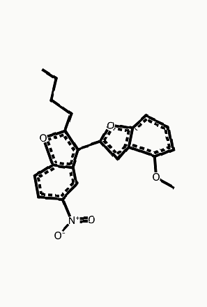 CCCCc1oc2ccc([N+](=O)[O-])cc2c1-c1cc2c(OC)cccc2o1